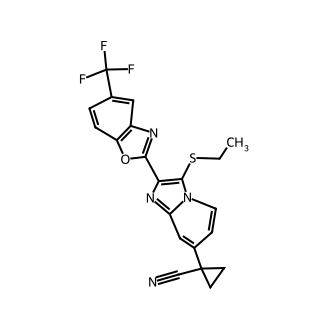 CCSc1c(-c2nc3cc(C(F)(F)F)ccc3o2)nc2cc(C3(C#N)CC3)ccn12